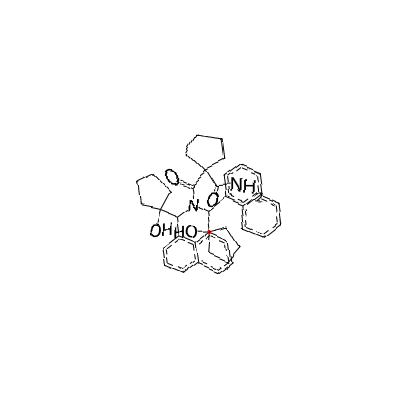 NC(=O)C1(C(=O)N(C(c2cccc3ccccc23)C2(O)CCCC2)C(c2cccc3ccccc23)C2(O)CCCC2)CCCC1